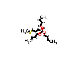 CCCCO[Si](CCCSC)(OCCCC)OCCCC